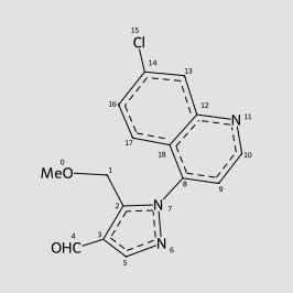 COCc1c(C=O)cnn1-c1ccnc2cc(Cl)ccc12